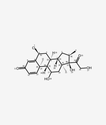 C[C@@H]1C[C@H]2[C@@H]3C[C@H](Cl)C4=CC(=O)C=C[C@]4(C)[C@H]3C(O)C[C@]2(C)[C@@]1(O)C(=O)CO